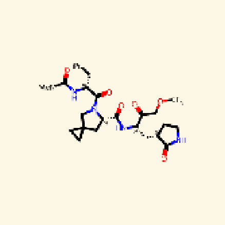 CNC(=O)N[C@H](CC(C)C)C(=O)N1CC2(CC2)C[C@H]1C(=O)N[C@@H](C[C@@H]1CCNC1=O)C(=O)COC(F)(F)F